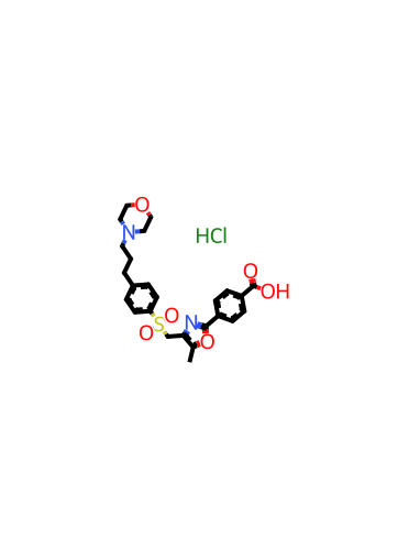 Cc1oc(-c2ccc(C(=O)O)cc2)nc1CS(=O)(=O)c1ccc(CCCN2CCOCC2)cc1.Cl